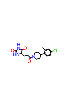 Cc1cc(Cl)ccc1C1CCN(C(=O)CC[C@H]2NC(=O)NC2=O)CC1